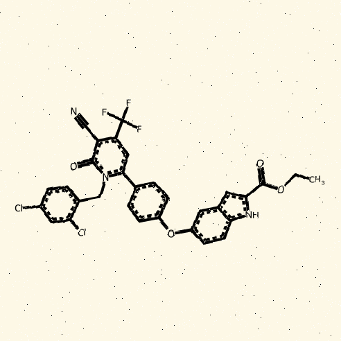 CCOC(=O)c1cc2cc(Oc3ccc(-c4cc(C(F)(F)F)c(C#N)c(=O)n4Cc4ccc(Cl)cc4Cl)cc3)ccc2[nH]1